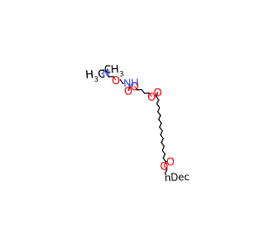 CCCCCCCCCCCCOC(=O)CCCCCCCCCCCCCCCCC(=O)OCCCCOC(=O)NCCOCCN(C)C